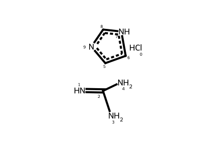 Cl.N=C(N)N.c1c[nH]cn1